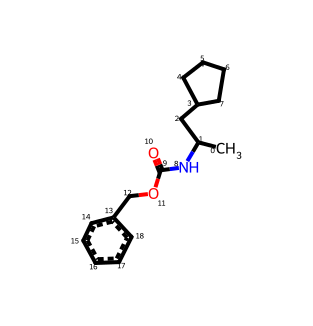 CC(CC1C[CH]CC1)NC(=O)OCc1ccccc1